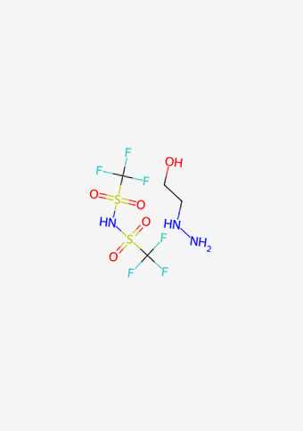 NNCCO.O=S(=O)(NS(=O)(=O)C(F)(F)F)C(F)(F)F